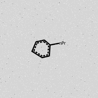 C[C]Cc1ccccc1